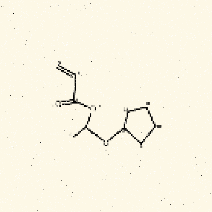 C=CC(=O)OC(C)OC1CCCC1